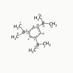 CB(C)c1cc(B(C)C)cc(B(C)C)c1